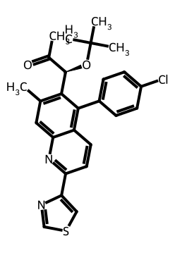 CC(=O)[C@@H](OC(C)(C)C)c1c(C)cc2nc(-c3cscn3)ccc2c1-c1ccc(Cl)cc1